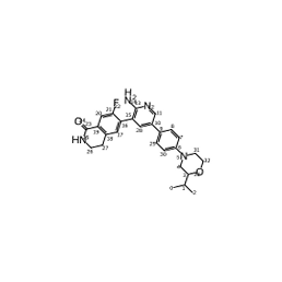 CC(C)C1CN(c2ccc(-c3cnc(N)c(-c4cc5c(cc4F)C(=O)NCC5)c3)cc2)CCO1